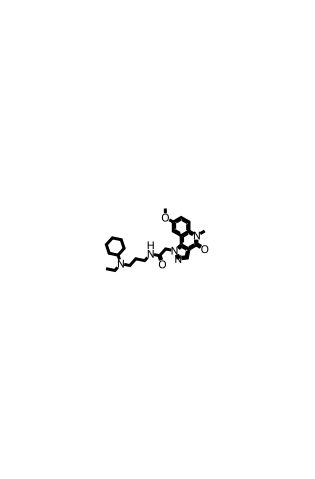 CCN(CCCNC(=O)Cn1ncc2c(=O)n(C)c3ccc(OC)cc3c21)C1CCCCC1